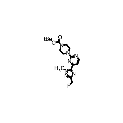 Cn1nc(CF)nc1-c1ccnc(N2CCN(C(=O)OC(C)(C)C)CC2)n1